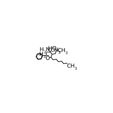 CCCCCCCC(OCc1ccccc1)C(CC(C)O)C(C)(C)N